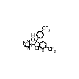 CC(n1ncnn1)C(O)(c1ccc(C(F)(F)F)cc1)c1ccc(C(F)(F)F)cc1